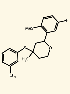 CSc1ccc(F)cc1C1CC(C)(Sc2cccc(C(F)(F)F)c2)CCO1